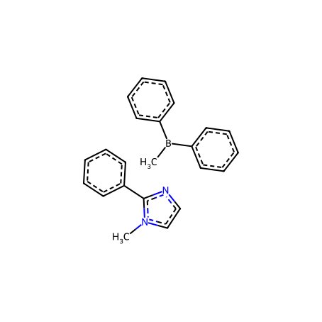 CB(c1ccccc1)c1ccccc1.Cn1ccnc1-c1ccccc1